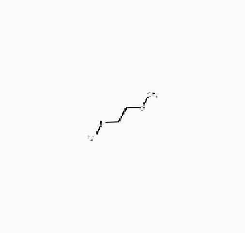 FC(F)(F)OCCOC(F)(F)F